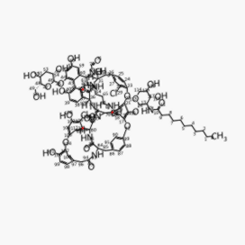 CCCCCCCCCCC(=O)NC1[C@H](Oc2c3cc4cc2Oc2ccc(cc2Cl)C[C@@H](C)NC(=O)[C@@H](c2ccc(O)c(-c5c(OC6O[C@H](CO)C(O)C[C@@H]6O)cc(O)cc5C(CNCCCNC)NC=O)c2)NC(=O)C4NC(=O)[C@@H]2NC(=O)C(Cc4ccc(cc4)O3)NC(=O)Cc3ccc(O)c(c3)Oc3cc(O)c(Cl)c2c3)OCC(O)[C@@H]1O